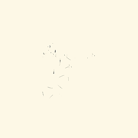 Fc1c(-c2csc3ccccc23)ccc2c(N3C[C@H]4CC[C@@H](C3)N4)nc(OCC34CCCN3CCC4)nc12